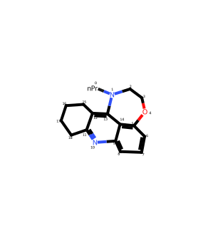 CCCN1CCOc2cccc3nc4c(c1c23)CCCC4